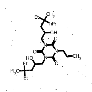 C=CCn1c(=O)n(CC(O)CC(C)(CC)CC)c(=O)n(CC(O)CC(C)(CC)CCC)c1=O